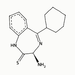 N[C@@H]1N=C(C2CCCCC2)c2ccccc2NC1=S